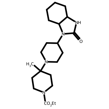 CCOC(=O)N1CCC(C)(N2CCC(N3C(=O)NC4CCCCC43)CC2)CC1